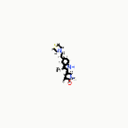 Cc1cc(-c2[nH]c3ccc(CCN4CCSCC4)cc3c2C(C)C)cn(C)c1=O